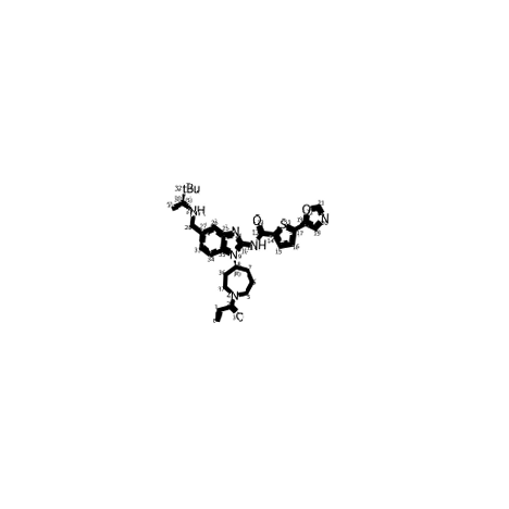 C=CC(=O)N1CCC[C@@H](n2c(NC(=O)c3ccc(-c4cnco4)s3)nc3cc(CN[C@@H](C)C(C)(C)C)ccc32)CC1